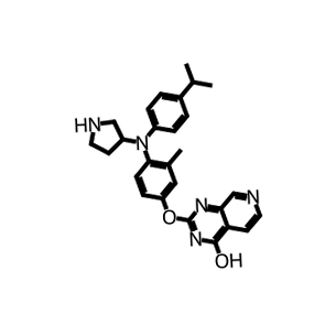 Cc1cc(Oc2nc(O)c3ccncc3n2)ccc1N(c1ccc(C(C)C)cc1)C1CCNC1